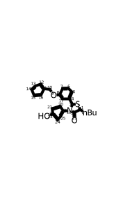 CCCCC1SC(c2cccc(OCc3ccccc3)c2)N(c2ccc(O)cc2)C1=O